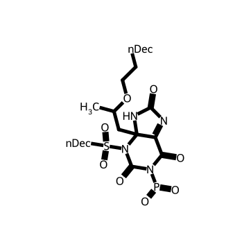 CCCCCCCCCCCCOC(C)CC12NC(=O)N=C1C(=O)N(P(=O)=O)C(=O)N2S(=O)(=O)CCCCCCCCCC